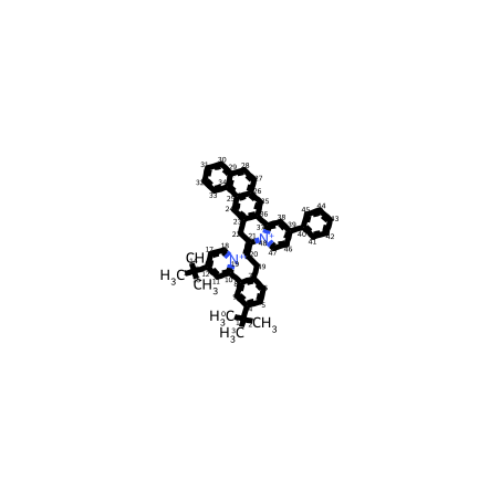 CC(C)(C)c1ccc2c(c1)-c1cc(C(C)(C)C)cc[n+]1/C(=C1\Cc3cc4c(ccc5ccccc54)cc3-c3cc(-c4ccccc4)cc[n+]31)C2